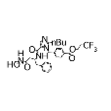 CCCCc1ncc(C(=O)NC(CC(=O)NO)Cc2ccccc2)n1Cc1ccc(C(=O)OCCC(F)(F)F)cc1